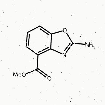 COC(=O)c1cccc2oc(N)nc12